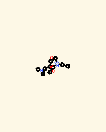 c1ccc(-c2ccc(-c3nc(-c4ccc5c(c4)oc4ccccc45)nc(-c4cccc5oc6ccc(-c7cccc(-c8ccc9c(c8)c8ccccc8n9-c8ccccc8)c7)cc6c45)n3)cc2)cc1